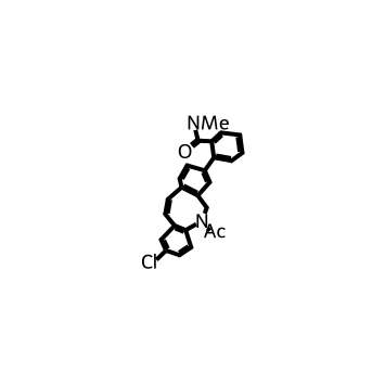 CNC(=O)c1ccccc1-c1ccc2c(c1)CN(C(C)=O)c1ccc(Cl)cc1C=C2